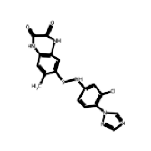 Cc1cc2[nH]c(=O)c(=O)[nH]c2cc1SNc1ccc(-n2cncn2)c(Cl)c1